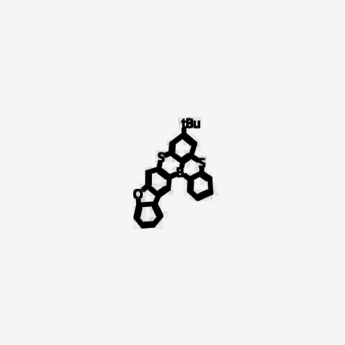 CC(C)(C)c1cc2c3c(c1)Sc1cc4oc5ccccc5c4cc1B3c1ccccc1S2